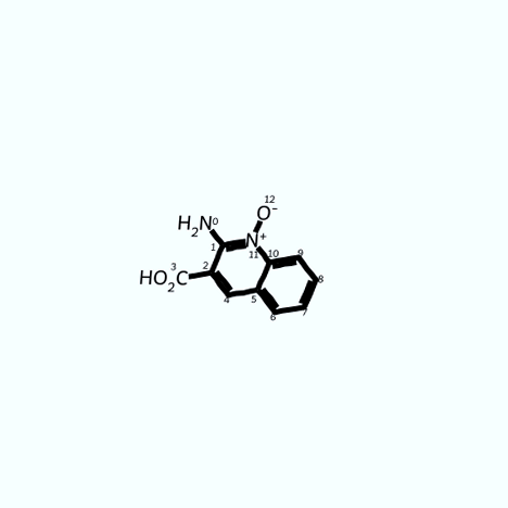 Nc1c(C(=O)O)cc2ccccc2[n+]1[O-]